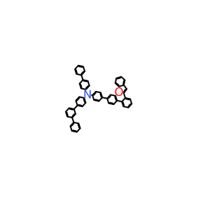 c1ccc(-c2ccc(N(c3ccc(-c4ccc(-c5ccccc5-c5cc6ccccc6o5)cc4)cc3)c3ccc(-c4cccc(-c5ccccc5)c4)cc3)cc2)cc1